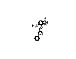 Nc1cnc2[nH]nnc2c1OCc1cnn(-c2ccccc2)c1